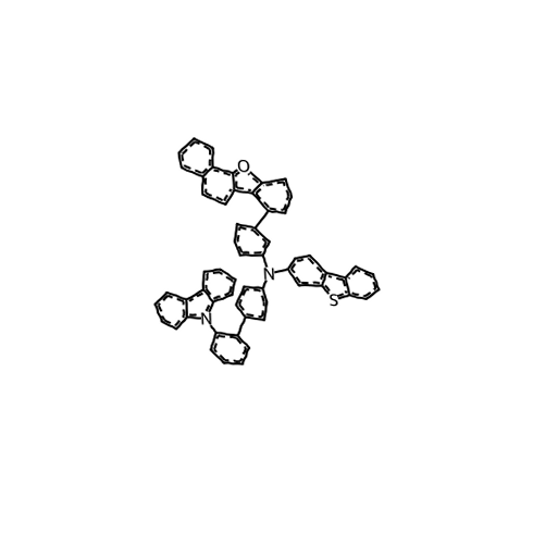 c1cc(-c2cccc3oc4c5ccccc5ccc4c23)cc(N(c2ccc(-c3ccccc3-n3c4ccccc4c4ccccc43)cc2)c2ccc3c(c2)sc2ccccc23)c1